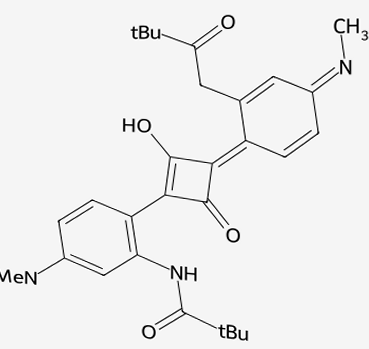 C/N=C1C=C/C(=C2\C(=O)C(c3ccc(NC)cc3NC(=O)C(C)(C)C)=C2O)C(CC(=O)C(C)(C)C)=C/1